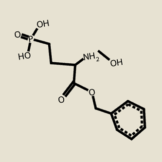 CO.NC(CCP(=O)(O)O)C(=O)OCc1ccccc1